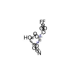 C/C(=C\c1cccc(S(=O)(=O)N2CC(F)(F)C2)c1)[C@H]1OC(=O)C[C@H](O)CC[C@H](C)[C@H](OC(=O)N2CCN(C)CC2)/C=C/[C@@H]1C